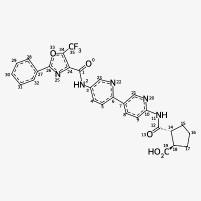 O=C(Nc1ccc(-c2ccc(NC(=O)[C@@H]3CCC[C@H]3C(=O)O)nc2)nc1)c1nc(-c2ccccc2)oc1C(F)(F)F